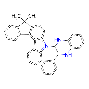 CC1(C)c2ccccc2-c2c1ccc1c2c2ccccc2n1C1Nc2ccccc2NC1c1ccccc1